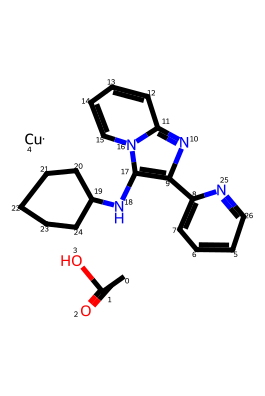 CC(=O)O.[Cu].c1ccc(-c2nc3ccccn3c2NC2CCCCC2)nc1